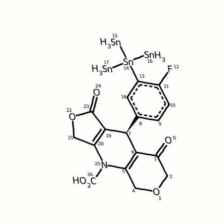 O=C1COCC2=C1[C@H](c1ccc(F)[c]([Sn]([SnH3])([SnH3])[SnH3])c1)C1=C(COC1=O)N2C(=O)O